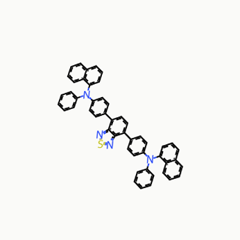 c1ccc(N(c2ccc(-c3ccc(-c4ccc(N(c5ccccc5)c5cccc6ccccc56)cc4)c4nsnc34)cc2)c2cccc3ccccc23)cc1